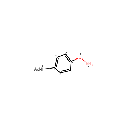 BOc1ccc(NC(C)=O)cc1